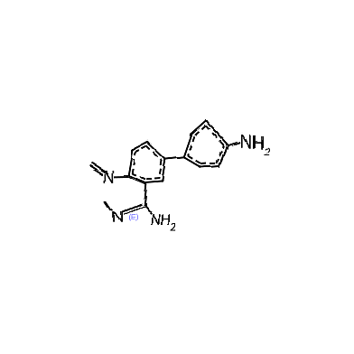 C=Nc1ccc(-c2ccc(N)cc2)cc1/C(N)=N\C